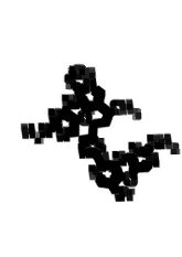 CC(C)c1cnc(-c2ncc(CCC(C)c3cnc(SC(C)(C)C)cc3Oc3cnc(N)nc3N)s2)cc1Oc1cnc(N)nc1N